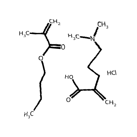 C=C(C)C(=O)OCCCC.C=C(CCCN(C)C)C(=O)O.Cl